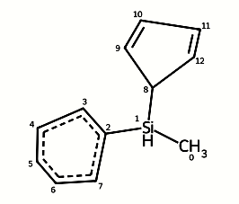 C[SiH](c1ccccc1)C1C=CC=C1